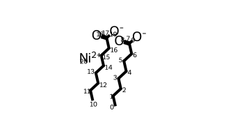 CCCCCCCC(=O)[O-].CCCCCCCC(=O)[O-].[Ni+2]